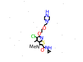 CNc1c(C(=O)NC2CC2)sc2nc(OCCOCCN3CCNCC3)c(Cl)c(C)c12